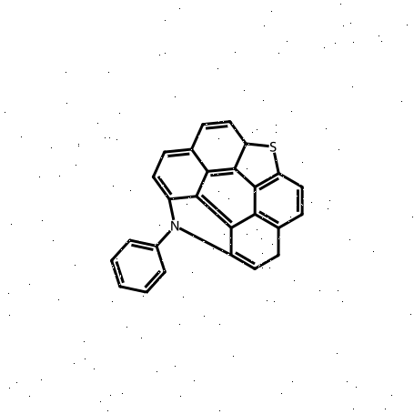 C1=CC2Sc3ccc4c5c3c2c2c1ccc1c2c5c(n1-c1ccccc1)=CC4